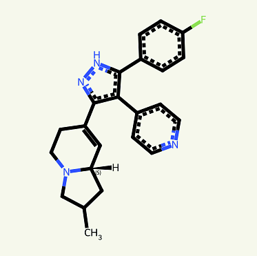 CC1C[C@H]2C=C(c3n[nH]c(-c4ccc(F)cc4)c3-c3ccncc3)CCN2C1